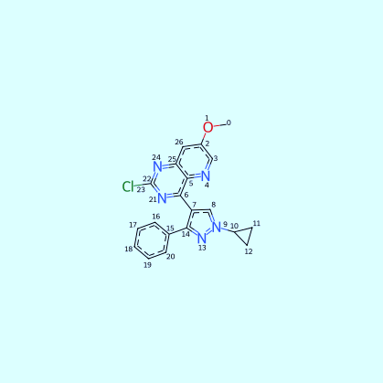 COc1cnc2c(-c3cn(C4CC4)nc3-c3ccccc3)nc(Cl)nc2c1